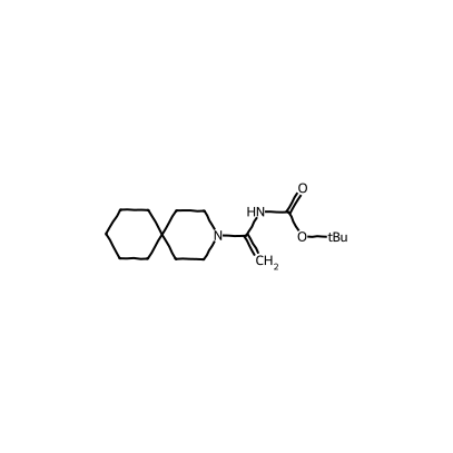 C=C(NC(=O)OC(C)(C)C)N1CCC2(CCCCC2)CC1